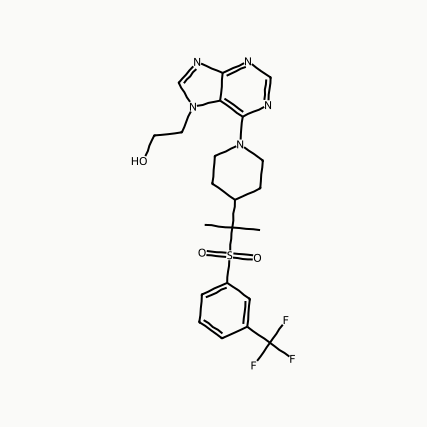 CC(C)(C1CCN(c2ncnc3ncn(CCO)c23)CC1)S(=O)(=O)c1cccc(C(F)(F)F)c1